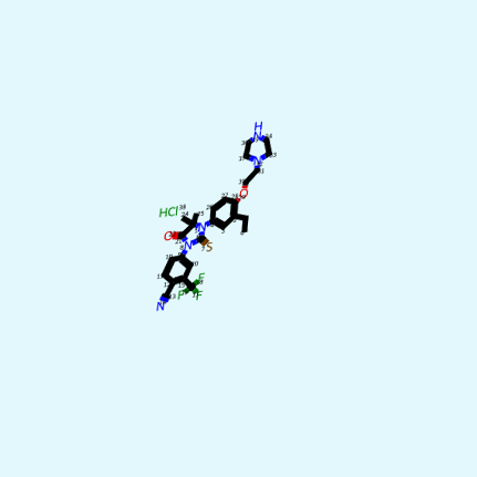 CCc1cc(N2C(=S)N(c3ccc(C#N)c(C(F)(F)F)c3)C(=O)C2(C)C)ccc1OCCN1CCNCC1.Cl